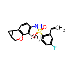 C=Cc1cc(F)ccc1S(=O)(=O)Nc1ccc2c(c1C(=O)O)OCC1CC21